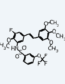 COc1cc(C=Cc2cc(F)c(OC)c(NS(=O)(=O)c3cccc(OC(F)(F)F)c3)c2)cc(OC)c1OC